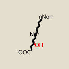 CCCCCCCCCCCCCCCCC=C(O)CCC(=O)[O-].[Na+]